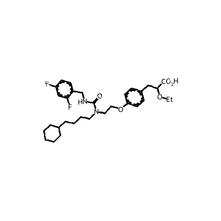 CCOC(Cc1ccc(OCCN(CCCCC2CCCCC2)C(=O)NCc2ccc(F)cc2F)cc1)C(=O)O